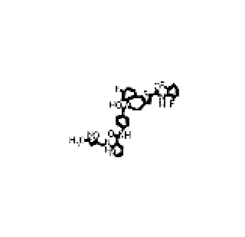 Cc1cc(CNc2ncccc2C(=O)Nc2ccc(C(O)N3CCc4cc(C(=O)Nc5c(F)cccc5F)sc4-c4ccc(F)cc43)cc2)on1